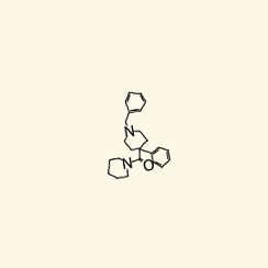 O=C(N1CCCCC1)C1(c2ccccc2)CCN(Cc2ccccc2)CC1